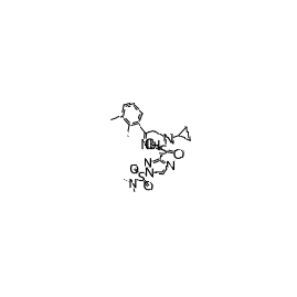 Cc1cccc(C(=N)CN(C2CC2)S(=O)(=O)c2ncn(S(=O)(=O)N(C)C)n2)c1C